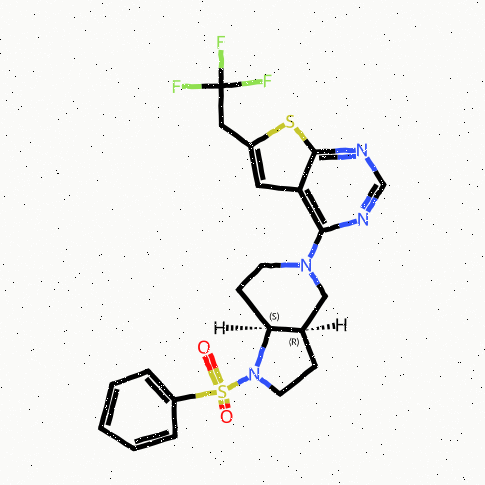 O=S(=O)(c1ccccc1)N1CC[C@@H]2CN(c3ncnc4sc(CC(F)(F)F)cc34)CC[C@@H]21